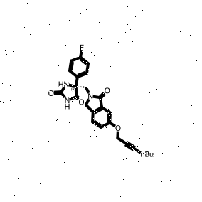 CCCCC#CCOc1ccc2c(c1)C(=O)N(C[C@@]1(c3ccc(F)cc3)NC(=O)NC1=O)C2